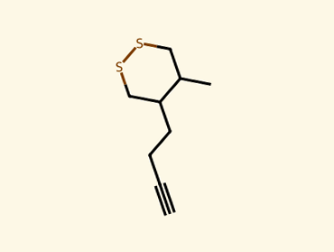 C#CCCC1CSSCC1C